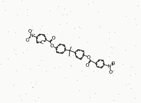 CC(C)(c1ccc(OC(=O)c2ccc([N+](=O)[O-])cc2)cc1)c1ccc(OC(=O)c2ccc([N+](=O)[O-])cc2)cc1